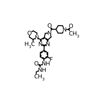 CCNC(=O)Nc1ccc(-c2nc3c(c(N4CCOCC4C)n2)CN(C(=O)C2CCN(C(C)=O)CC2)C3)cc1F